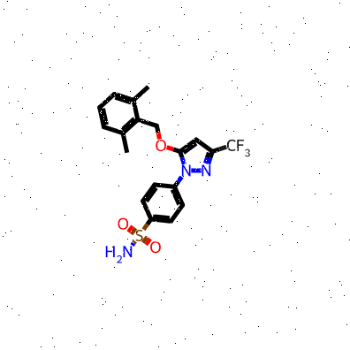 Cc1cccc(C)c1COc1cc(C(F)(F)F)nn1-c1ccc(S(N)(=O)=O)cc1